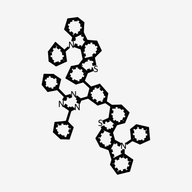 c1ccc(-c2nc(-c3ccccc3)nc(-c3cc(-c4cccc5c4sc4ccc6c7ccccc7n(-c7ccccc7)c6c45)ccc3-c3cccc4c3sc3ccc5c6ccccc6n(-c6ccccc6)c5c34)n2)cc1